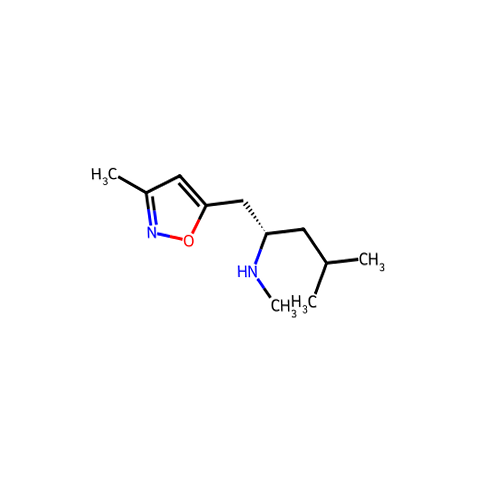 CN[C@H](Cc1cc(C)no1)CC(C)C